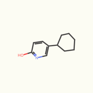 Oc1ccc(C2CCCCC2)cn1